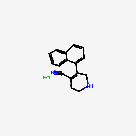 Cl.N#CC1=C(c2cccc3ccccc23)CNCC1